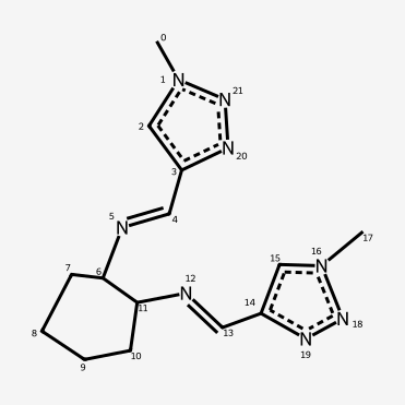 Cn1cc(C=NC2CCCCC2N=Cc2cn(C)nn2)nn1